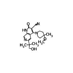 COC1(C)CCN(c2c(C#N)c(=O)[nH]c3cnc(C(C)(C)CO)cc23)CC1